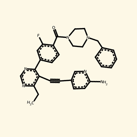 CCc1ncnc(-c2ccc(C(=O)N3CCN(Cc4ccccc4)CC3)c(F)c2)c1C#Cc1ccc(N)nc1